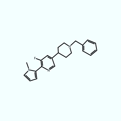 Cn1cccc1-c1ncc(C2CCN(Cc3ccccc3)CC2)cc1F